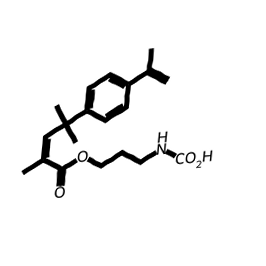 C=C(C)c1ccc(C(C)(C)C=C(C)C(=O)OCCCNC(=O)O)cc1